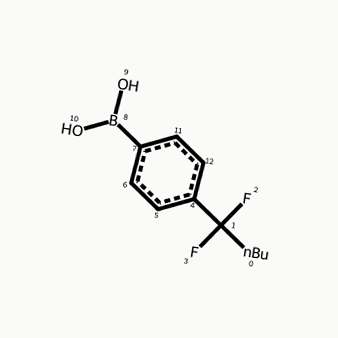 CCCCC(F)(F)c1ccc(B(O)O)cc1